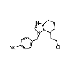 N#Cc1ccc(Cn2cnc3c2C(CCCl)CCC3)cc1